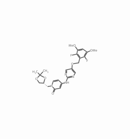 COc1cc(OC)c(F)c(COc2cnc(Nc3ccn(C[C@@H]4COC(C)(C)O4)c(=O)c3)nc2)c1F